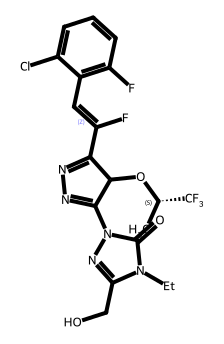 CCn1c(CO)nn(C2=NN=C(/C(F)=C/c3c(F)cccc3Cl)C2O[C@@H](C)C(F)(F)F)c1=O